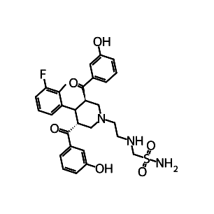 Cc1c(F)cccc1C1[C@@H](C(=O)c2cccc(O)c2)CN(CCNCS(N)(=O)=O)C[C@@H]1C(=O)c1cccc(O)c1